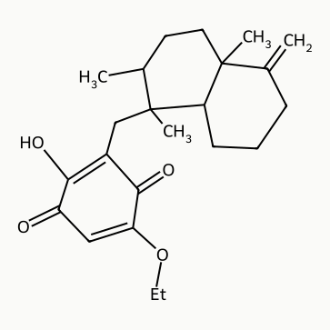 C=C1CCCC2C1(C)CCC(C)C2(C)CC1=C(O)C(=O)C=C(OCC)C1=O